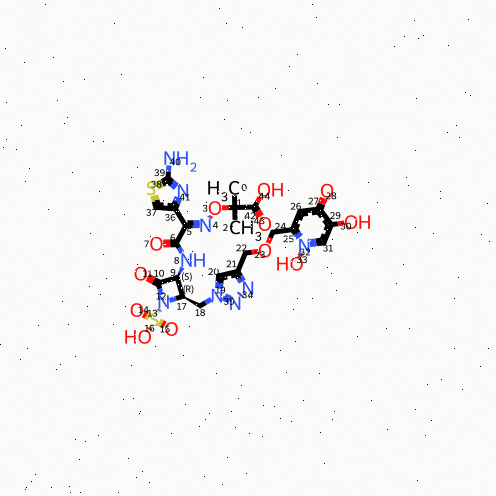 CC(C)(ON=C(C(=O)N[C@@H]1C(=O)N(S(=O)(=O)O)[C@@H]1Cn1cc(COCc2cc(=O)c(O)cn2O)nn1)c1csc(N)n1)C(=O)O